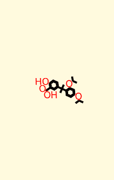 CC(C)Oc1ccc(C(C)(C)c2ccc(O)c(C(=O)O)c2)c(OC(C)C)c1